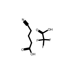 N#CCCCC(=O)O.O=C(O)C(F)(F)F